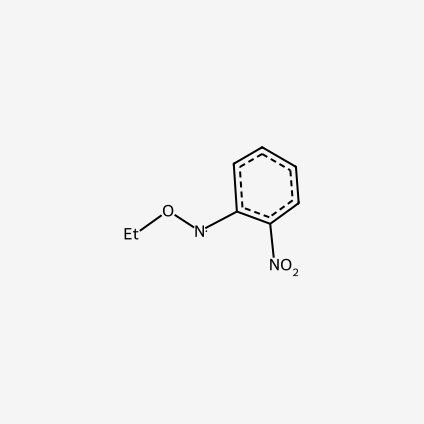 CCO[N]c1ccccc1[N+](=O)[O-]